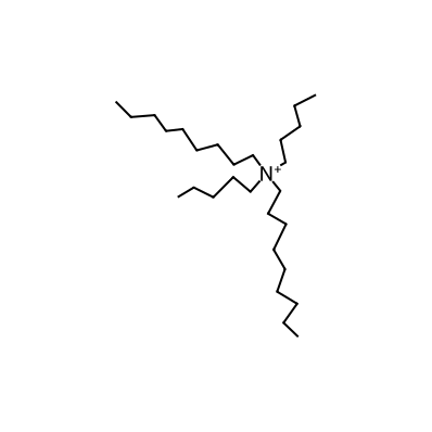 CCCCCCCCC[N+](CCCCC)(CCCCC)CCCCCCCCC